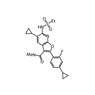 CCS(=O)(=O)Nc1nc2oc(-c3ccc(C4CC4)cc3F)c(C(=O)NC)c2cc1C1CC1